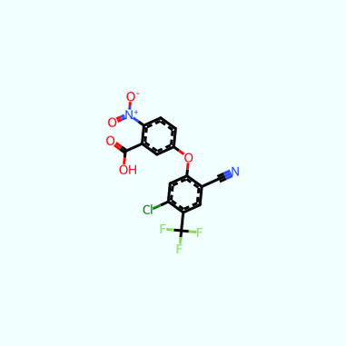 N#Cc1cc(C(F)(F)F)c(Cl)cc1Oc1ccc([N+](=O)[O-])c(C(=O)O)c1